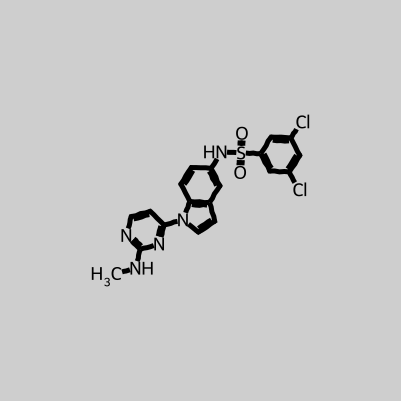 CNc1nccc(-n2ccc3cc(NS(=O)(=O)c4cc(Cl)cc(Cl)c4)ccc32)n1